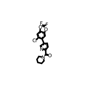 O=C(c1ccc(-c2cc3c(cc2Cl)OC(F)(F)O3)cn1)N1CCCCC1